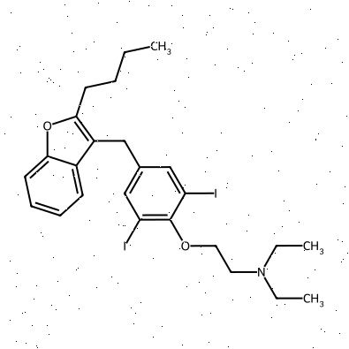 CCCCc1oc2ccccc2c1Cc1cc(I)c(OCCN(CC)CC)c(I)c1